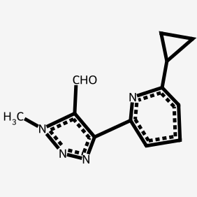 Cn1nnc(-c2cccc(C3CC3)n2)c1C=O